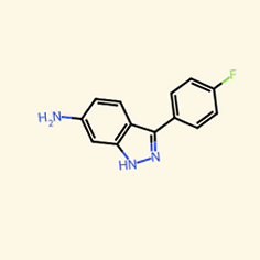 Nc1ccc2c(-c3ccc(F)cc3)n[nH]c2c1